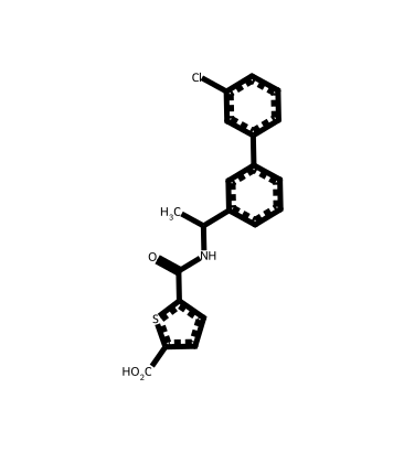 CC(NC(=O)c1ccc(C(=O)O)s1)c1cccc(-c2cccc(Cl)c2)c1